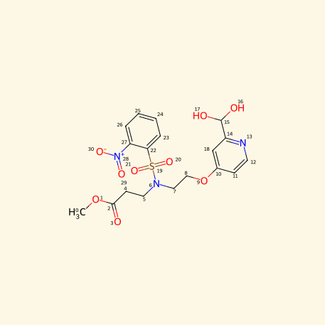 COC(=O)CCN(CCOc1ccnc(C(O)O)c1)S(=O)(=O)c1ccccc1[N+](=O)[O-]